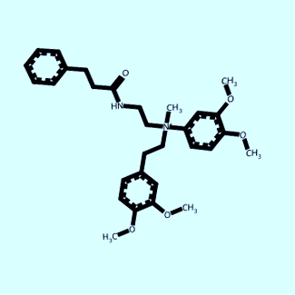 COc1ccc(CC[N+](C)(CCNC(=O)CCc2ccccc2)c2ccc(OC)c(OC)c2)cc1OC